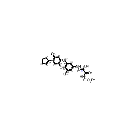 CCOC(=O)NC(=O)/C(C#N)=N/Nc1cc(Cl)c(Oc2ccc(=O)n(C3=CCCC3)c2)c(Cl)c1